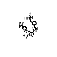 Cn1ncc(-c2nc(-c3cccc(Cc4n[nH][nH]4)c3)no2)c1COc1ccc(C(F)(F)F)cn1